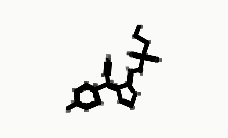 CCCS(=O)(=O)O/N=C1\SC=C\C1=C(\C#N)c1ccc(C)cc1